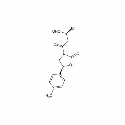 CC[C@H](C=O)CC(=O)N1C[C@H](c2ccc(C)cc2)OC1=O